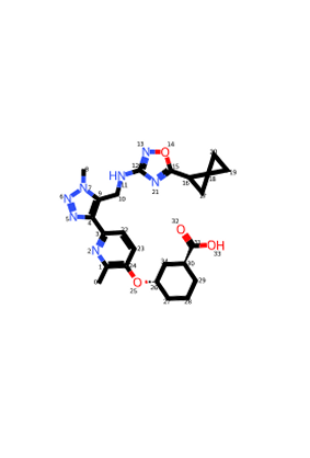 Cc1nc(-c2nnn(C)c2CNc2noc(C3CC34CC4)n2)ccc1O[C@H]1CCC[C@H](C(=O)O)C1